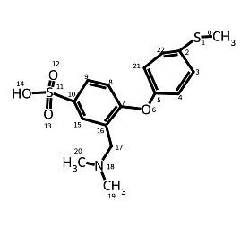 CSc1ccc(Oc2ccc(S(=O)(=O)O)cc2CN(C)C)cc1